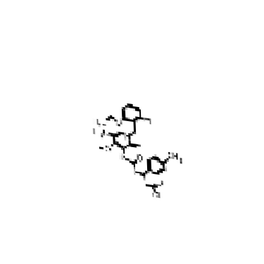 CCOc1cccc(Cl)c1Cn1cc(C)c(O)c(NC(=O)N[C@@H](CC(=O)O)c2ccc(C)cc2)c1=O